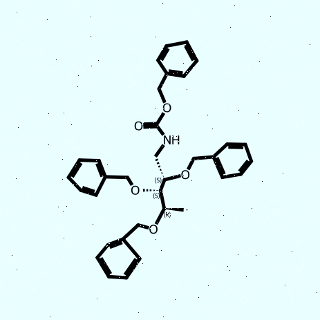 [CH2][C@@H](OCc1ccccc1)[C@H](OCc1ccccc1)[C@H](CNC(=O)OCc1ccccc1)OCc1ccccc1